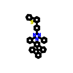 c1ccc(-c2nc(-c3ccc(-c4cccc5c4sc4ccccc45)cc3)nc(-c3ccccc3-c3ccc4c(c3)C3(c5ccccc5-c5ccccc53)c3ccccc3-4)n2)cc1